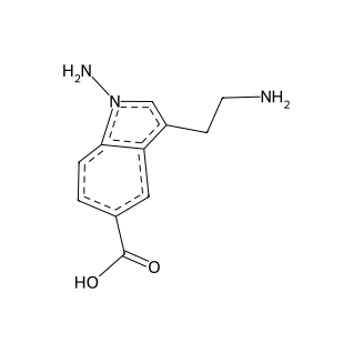 NCCc1cn(N)c2ccc(C(=O)O)cc12